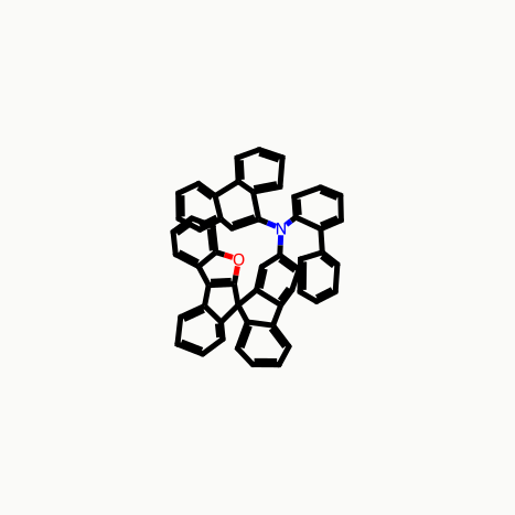 c1ccc(-c2ccccc2N(c2ccc3c(c2)C2(c4ccccc4-3)c3ccccc3-c3c2oc2ccccc32)c2cc3ccccc3c3ccccc23)cc1